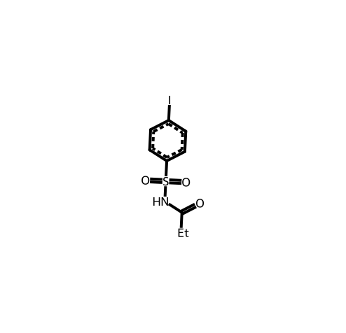 [CH2]CC(=O)NS(=O)(=O)c1ccc(I)cc1